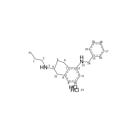 CCCNC1CCc2c(cccc2NCc2ccccc2)C1.Cl.Cl